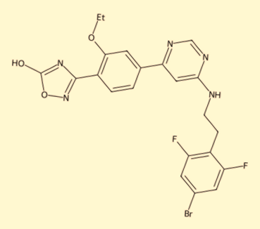 CCOc1cc(-c2cc(NCCc3c(F)cc(Br)cc3F)ncn2)ccc1-c1noc(O)n1